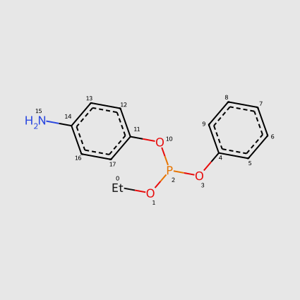 CCOP(Oc1ccccc1)Oc1ccc(N)cc1